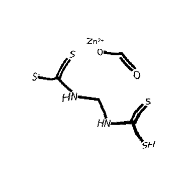 O=C[O-].S=C([S-])NCNC(=S)S.[Zn+2]